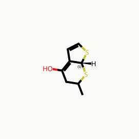 CC1CC(O)=C2C=CS[C@@H]2S1